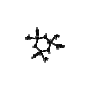 CCCP1(=O)OP(=O)(CCC)O[PH](CCC)(OC)O1